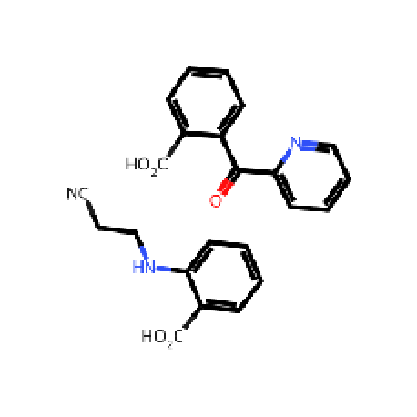 N#CCCNc1ccccc1C(=O)O.O=C(O)c1ccccc1C(=O)c1ccccn1